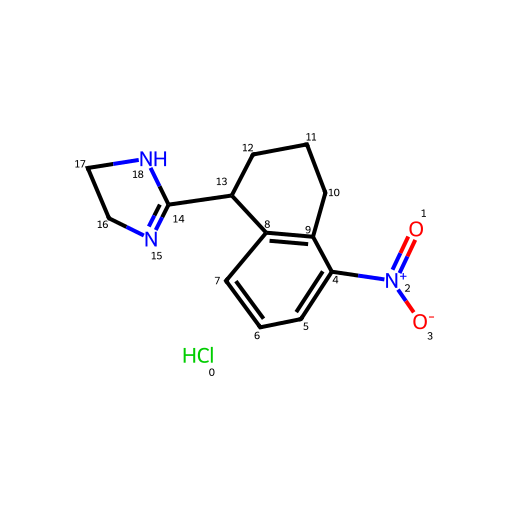 Cl.O=[N+]([O-])c1cccc2c1CCCC2C1=NCCN1